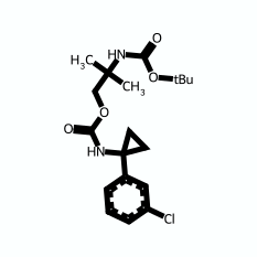 CC(C)(COC(=O)NC1(c2cccc(Cl)c2)CC1)NC(=O)OC(C)(C)C